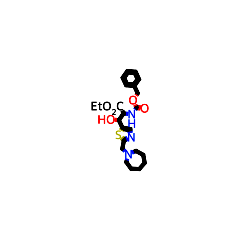 CCOC(=O)C(NC(=O)OCc1ccccc1)C(O)c1cnc(CN2CCCCCC2)s1